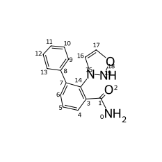 NC(=O)c1cccc(-c2ccccc2)c1N1C=CON1